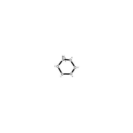 O1OO[SiH2]OO1